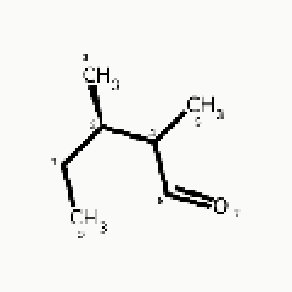 CC[C@@H](C)C(C)C=O